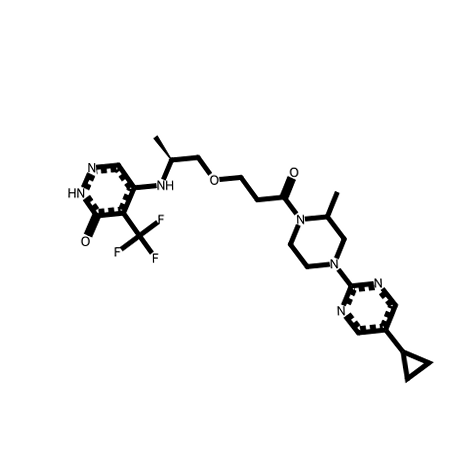 CC1CN(c2ncc(C3CC3)cn2)CCN1C(=O)CCOC[C@H](C)Nc1cn[nH]c(=O)c1C(F)(F)F